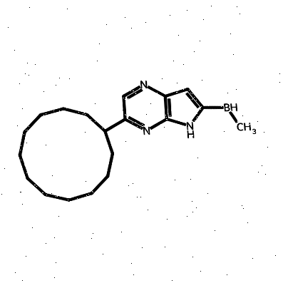 CBc1cc2ncc(C3CCCCCCCCCCC3)nc2[nH]1